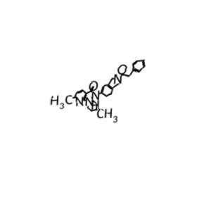 Cc1ccc(C(=O)Nc2ccc3c(c2)CN(C(=O)Cc2ccccc2)C3)c(N2CCC(C)CC2)n1